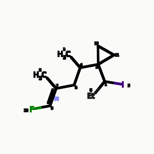 CCC(I)C1(C(C)C/C(C)=C/F)CC1